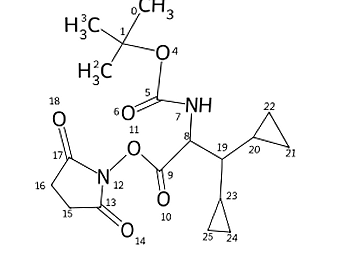 CC(C)(C)OC(=O)NC(C(=O)ON1C(=O)CCC1=O)C(C1CC1)C1CC1